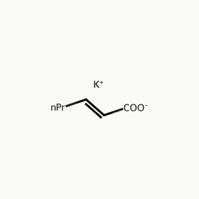 CCC/C=C/C(=O)[O-].[K+]